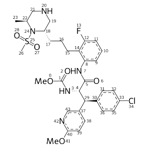 COC(=O)N[C@H](C(=O)Nc1cccc(F)c1CCC[C@H]1CNC[C@H](C)N1S(C)(=O)=O)[C@@H](c1ccc(Cl)cc1)c1ccc(OC)nc1